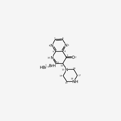 Br.Br.O=C1c2nccnc2N=CC1N1CCNCC1